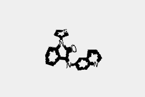 O=C1C(=Nc2ccc3ncccc3c2)c2ccccc2N1c1ccsc1